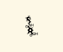 [CH2]c1cc(C(=O)NCCc2cccs2)ccc1C(=O)O